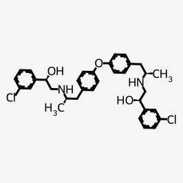 C[C@H](Cc1ccc(Oc2ccc(C[C@@H](C)NC[C@H](O)c3cccc(Cl)c3)cc2)cc1)NC[C@H](O)c1cccc(Cl)c1